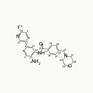 Nc1ccc(-c2ccc(F)nc2)cc1NC(=O)c1ccc(CN2CCOCC2)cc1